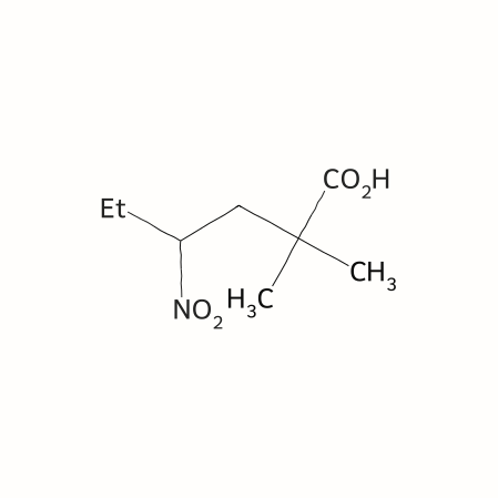 CCC(CC(C)(C)C(=O)O)[N+](=O)[O-]